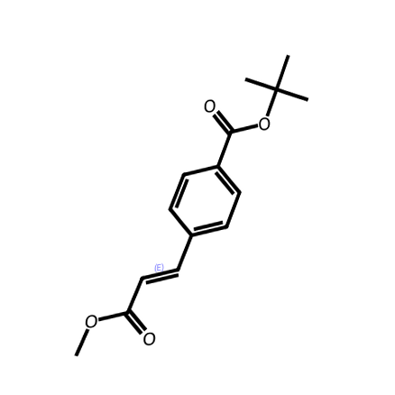 COC(=O)/C=C/c1ccc(C(=O)OC(C)(C)C)cc1